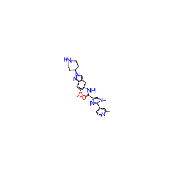 COc1cc2nn(C3CCNCC3)cc2cc1NC(=O)c1cn(C)c(-c2ccnc(C)c2)n1